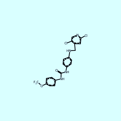 O=C(Nc1ccc(NCc2cc(Cl)ncc2Cl)cc1)Nc1ccc(OC(F)(F)F)cc1